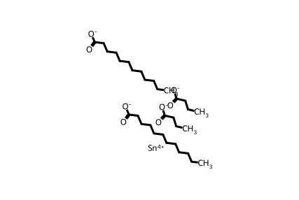 CCCC(=O)[O-].CCCC(=O)[O-].CCCCCCCCCCCC(=O)[O-].CCCCCCCCCCCC(=O)[O-].[Sn+4]